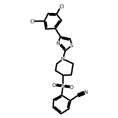 N#Cc1ccccc1S(=O)(=O)C1CCN(c2nc(-c3cc(Cl)cc(Cl)c3)cs2)CC1